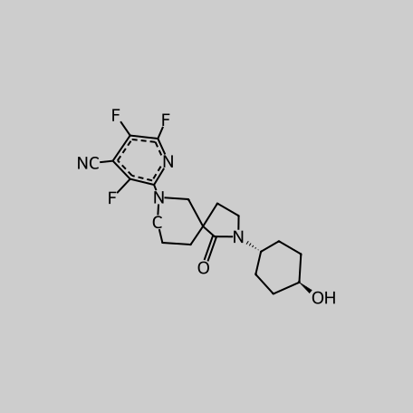 N#Cc1c(F)c(F)nc(N2CCCC3(CCN([C@H]4CC[C@H](O)CC4)C3=O)C2)c1F